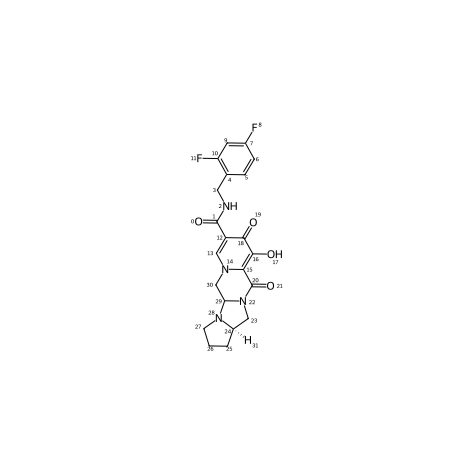 O=C(NCc1ccc(F)cc1F)c1cn2c(c(O)c1=O)C(=O)N1C[C@H]3CCCN3C1C2